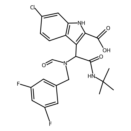 CC(C)(C)NC(=O)C(c1c(C(=O)O)[nH]c2cc(Cl)ccc12)N(C=O)Cc1cc(F)cc(F)c1